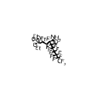 CCO[Si](CCCC(F)(C(N)=O)C(F)(F)C(F)(F)C(F)(F)C(F)(F)C(F)(F)C(F)(F)F)(OCC)OCC